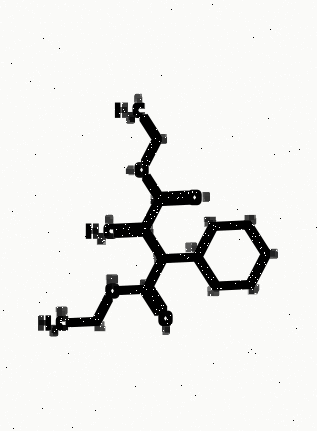 C=C(C(=O)OCC)C(C(=O)OCC)C1CCCCC1